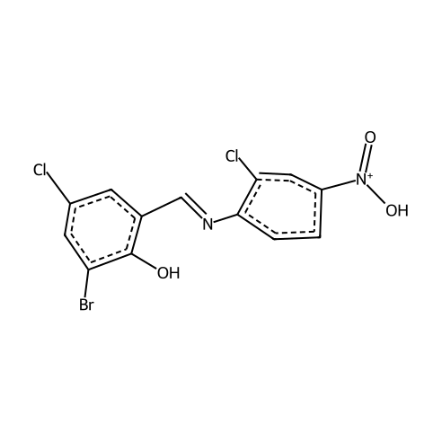 O=[N+](O)c1ccc(/N=C/c2cc(Cl)cc(Br)c2O)c(Cl)c1